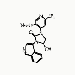 COc1cnc(C(F)(F)F)cc1N1C[C@@H](C#N)N(c2cncc3ccccc23)C1=O